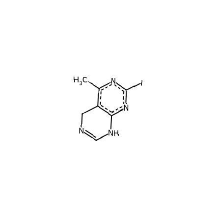 Cc1nc(I)nc2c1CN=CN2